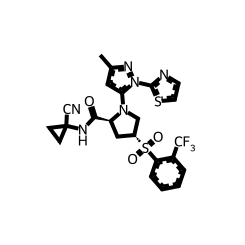 Cc1cc(N2C[C@H](S(=O)(=O)c3ccccc3C(F)(F)F)C[C@H]2C(=O)NC2(C#N)CC2)n(-c2nccs2)n1